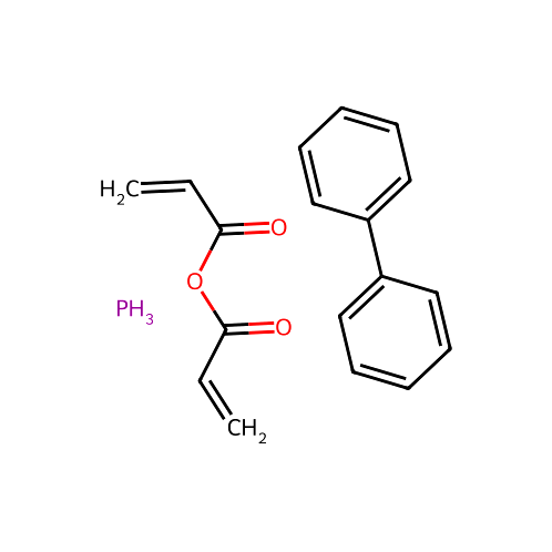 C=CC(=O)OC(=O)C=C.P.c1ccc(-c2ccccc2)cc1